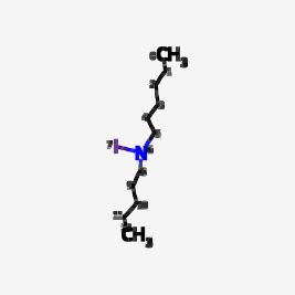 CCCCCCN(I)CCCCC